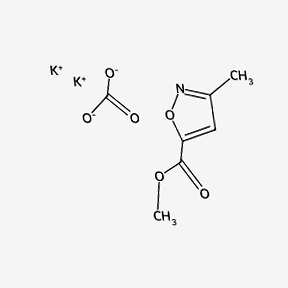 COC(=O)c1cc(C)no1.O=C([O-])[O-].[K+].[K+]